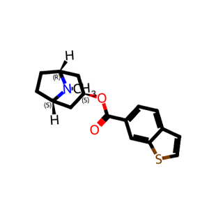 CN1[C@@H]2CC[C@H]1C[C@H](OC(=O)c1ccc3ccsc3c1)C2